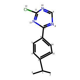 CC(C)c1ccc(-c2ncnc(Cl)n2)cc1